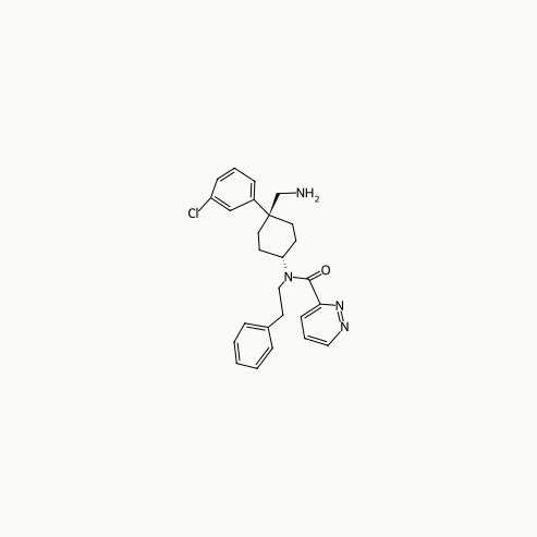 NC[C@]1(c2cccc(Cl)c2)CC[C@@H](N(CCc2ccccc2)C(=O)c2cccnn2)CC1